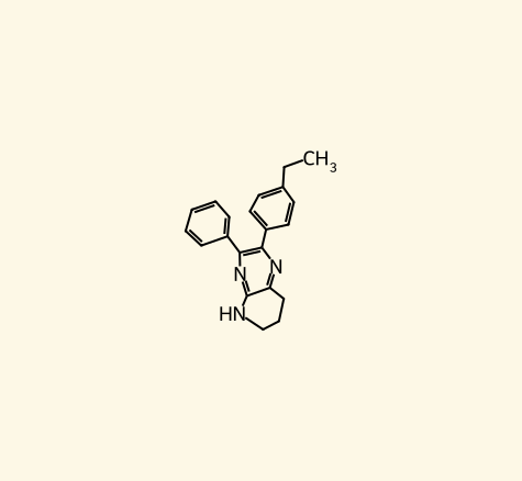 CCc1ccc(-c2nc3c(nc2-c2ccccc2)NCCC3)cc1